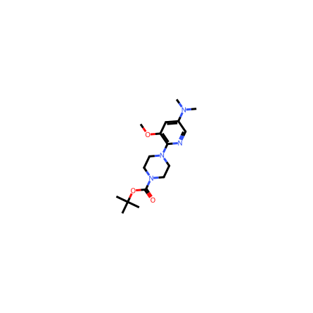 COc1cc(N(C)C)cnc1N1CCN(C(=O)OC(C)(C)C)CC1